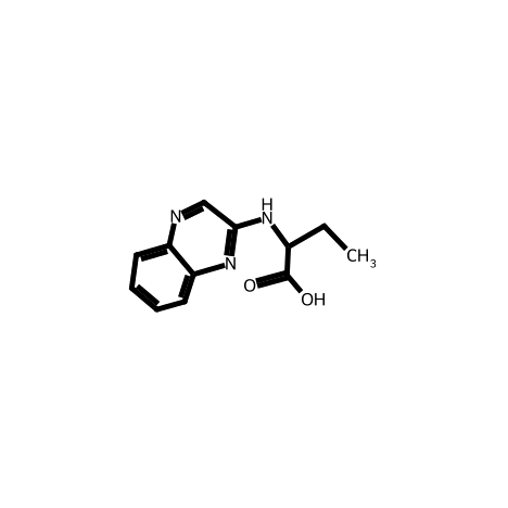 CCC(Nc1cnc2ccccc2n1)C(=O)O